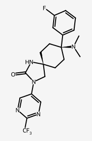 CN(C)[C@]1(c2cccc(F)c2)CC[C@@]2(CC1)CN(c1cnc(C(F)(F)F)nc1)C(=O)N2